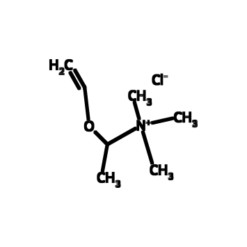 C=COC(C)[N+](C)(C)C.[Cl-]